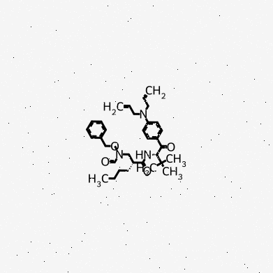 C=CCN(CC=C)c1ccc(C(=O)[C@@H](NC(=O)[C@H](CCCC)CN(C=O)OCc2ccccc2)C(C)(C)C)cc1